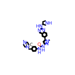 CN1CCN(Cc2ccc(NC(=O)Nc3cc(-c4ccc5nc(N[C@@H]6CCNC6)ncc5c4)n(C)n3)cc2C(F)(F)F)CC1